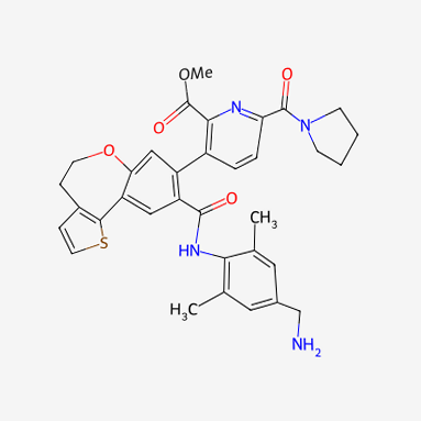 COC(=O)c1nc(C(=O)N2CCCC2)ccc1-c1cc2c(cc1C(=O)Nc1c(C)cc(CN)cc1C)-c1sccc1CCO2